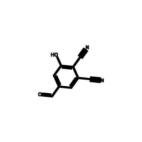 N#Cc1cc(C=O)cc(O)c1C#N